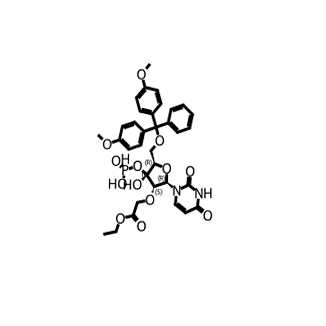 CCOC(=O)CO[C@H]1[C@H](n2ccc(=O)[nH]c2=O)O[C@H](COC(c2ccccc2)(c2ccc(OC)cc2)c2ccc(OC)cc2)[C@@]1(O)O[PH](=O)O